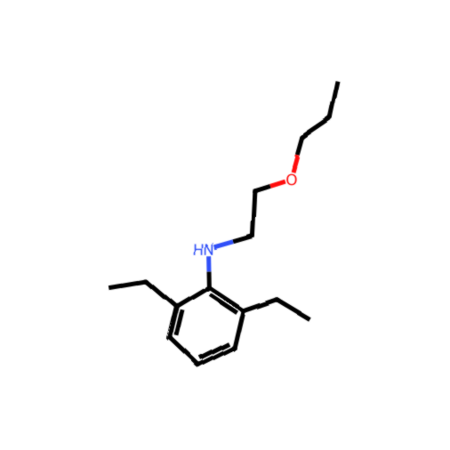 CCCOCCNc1c(CC)cccc1CC